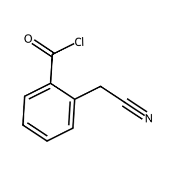 N#CCc1ccccc1C(=O)Cl